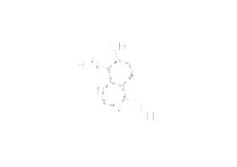 CSc1ncnc2c(N)c(C)ccc12